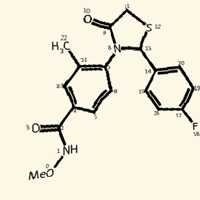 CONC(=O)c1ccc(N2C(=O)CSC2c2ccc(F)cc2)c(C)c1